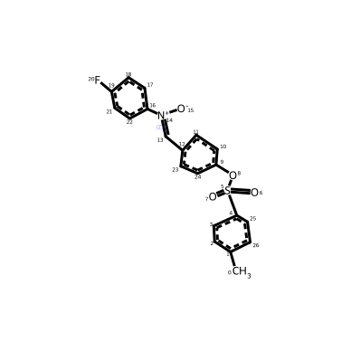 Cc1ccc(S(=O)(=O)Oc2ccc(/C=[N+](\[O-])c3ccc(F)cc3)cc2)cc1